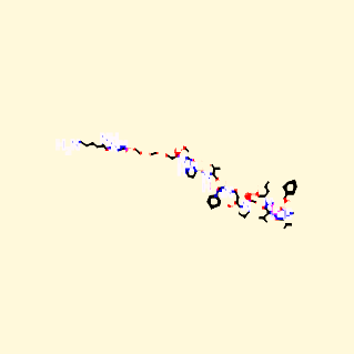 CC[C@H](C)[C@@H]([C@@H](CC(=O)N1CCC[C@H]1[C@H](OC)[C@@H](C)C(=O)N[C@H](C)[C@@H](OC(=O)[C@@H](NC(=O)[C@@H]1CCCN1C(=O)[C@H](CC(=O)O)NC(=O)CCOCCOCCOCCNC(=O)[C@@H](N)CCCCN)C(C)C)c1ccccc1)OC)N(C)C(=O)[C@@H](NC(=O)[C@H](C(C)C)N(C)C(=O)OCc1ccccc1)C(C)C